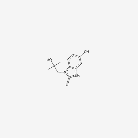 CC(C)(O)Cn1c(=O)[nH]c2cc(O)ccc21